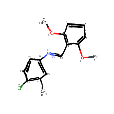 CCCOc1cccc(OCC)c1/C=N/c1ccc(Cl)c(C(F)(F)F)c1